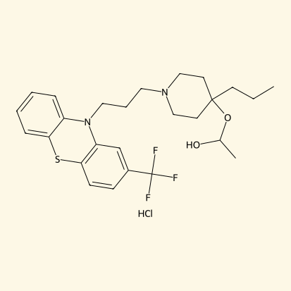 CCCC1(OC(C)O)CCN(CCCN2c3ccccc3Sc3ccc(C(F)(F)F)cc32)CC1.Cl